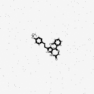 COc1ccc(CCc2cc3c(s2)NC(=O)CN=C3c2ccccc2Cl)cc1